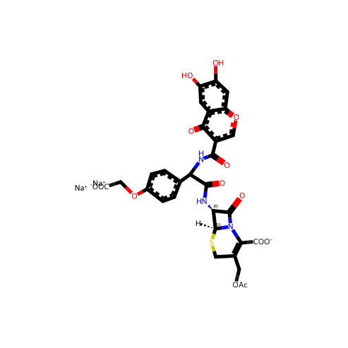 CC(=O)OCC1=C(C(=O)[O-])N2C(=O)[C@@H](NC(=O)C(NC(=O)c3coc4cc(O)c(O)cc4c3=O)c3ccc(OCC(=O)[O-])cc3)[C@@H]2SC1.[Na+].[Na+]